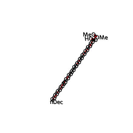 CCCCCCCCCCCCOCCOCCOCCOCCOCCOCCOCCOCCOCCOCCOCCOCCOCCOCCOCCOCCOCCOCCOCCOCCOCCOCCOCCOCCOCCOCCOCCOCCOCCOCCN(CCO)C(=O)CCc1cc(OC)ccc1OC